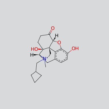 C[N+]1(CC2CCC2)CC[C@]23c4c5ccc(O)c4O[C@H]2C(=O)CC[C@@]3(O)[C@H]1C5